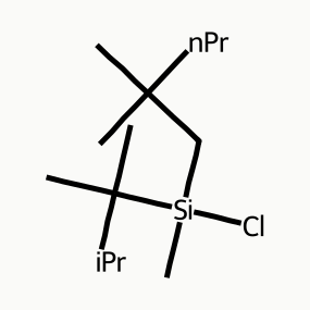 CCCC(C)(C)C[Si](C)(Cl)C(C)(C)C(C)C